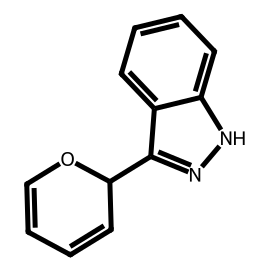 C1=COC(c2n[nH]c3ccccc23)C=C1